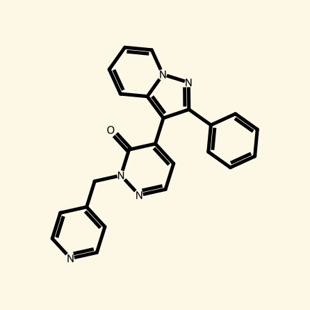 O=c1c(-c2c(-c3ccccc3)nn3ccccc23)ccnn1Cc1ccncc1